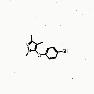 Cc1nn(C)c(Oc2ccc(S)cc2)c1C